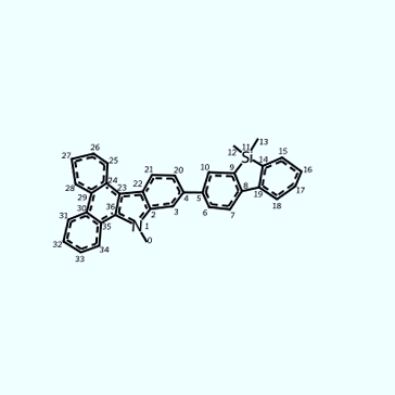 Cn1c2cc(-c3ccc4c(c3)[Si](C)(C)c3ccccc3-4)ccc2c2c3ccccc3c3ccccc3c21